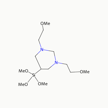 COCCN1CC([Si](OC)(OC)OC)CN(CCOC)C1